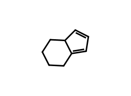 C1=CC2CCCCC2=C1